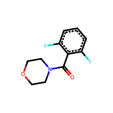 O=C(c1c(F)cccc1F)N1C[CH]OCC1